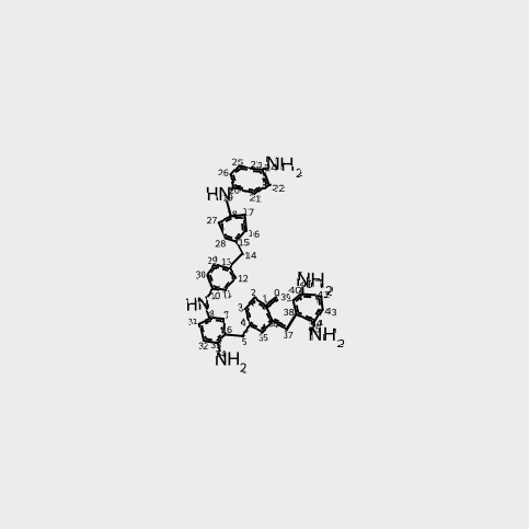 C=c1ccc(Cc2cc(Nc3ccc(Cc4ccc(Nc5ccc(N)cc5)cc4)cc3)ccc2N)c/c1=C/c1cc(N)ccc1N